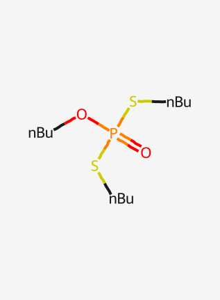 CCCCOP(=O)(SCCCC)SCCCC